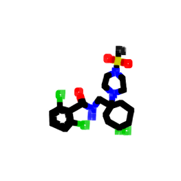 CCS(=O)(=O)N1CCN(C2(CNC(=O)c3c(Cl)cccc3Cl)CCCCCC2)CC1.Cl